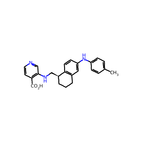 Cc1ccc(Nc2ccc3c(c2)CCC[C@H]3CNc2cnccc2C(=O)O)cc1